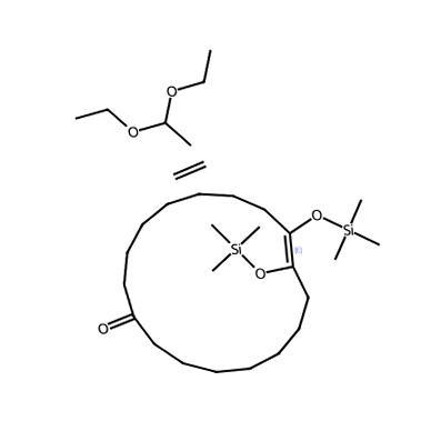 C=C.CCOC(C)OCC.C[Si](C)(C)O/C1=C(/O[Si](C)(C)C)CCCCCCCC(=O)CCCCCCC1